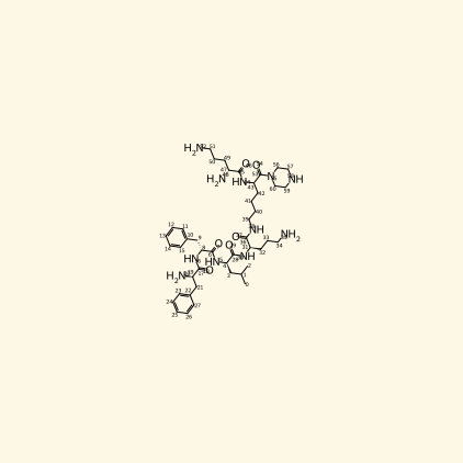 CC(C)C[C@@H](NC(=O)[C@@H](Cc1ccccc1)NC(=O)[C@H](N)Cc1ccccc1)C(=O)N[C@H](CCCN)C(=O)NCCCCC(NC(=O)[C@H](N)CCCN)C(=O)N1CCNCC1